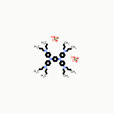 CCCCN(CCCC)c1ccc(N(c2ccc(N(CCCC)CCCC)cc2)c2ccc(N(c3ccc(N(CCCC)CCCC)cc3)c3ccc(N(CCCC)CCCC)cc3)cc2)cc1.[O-][Cl+3]([O-])([O-])O.[O-][Cl+3]([O-])([O-])O